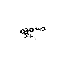 COc1c(-c2ccc(OCCCN3CCCC3)cc2)oc2ccccc2c1=O